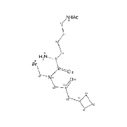 CC(=O)NCCCC[C@@H](N)C(=O)N(CC(=O)CC1CCC1)CC(C)C